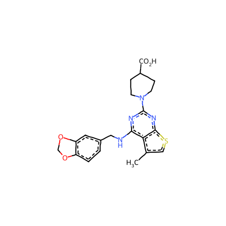 Cc1csc2nc(N3CCC(C(=O)O)CC3)nc(NCc3ccc4c(c3)OCO4)c12